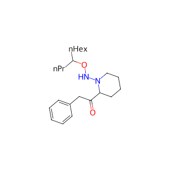 CCCCCCC(CCC)ONN1CCCCC1C(=O)Cc1ccccc1